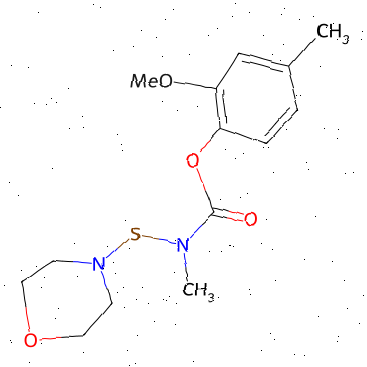 COc1cc(C)ccc1OC(=O)N(C)SN1CCOCC1